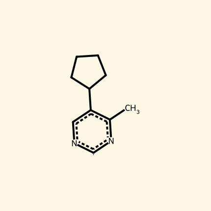 Cc1n[c]ncc1C1CCCC1